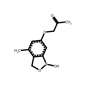 CC(=O)COc1cc(C)c2c(c1)B(O)OC2